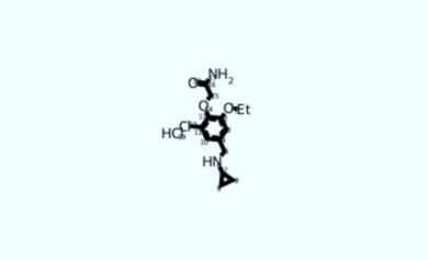 CCOc1cc(CNC2CC2)cc(Cl)c1OCC(N)=O.Cl